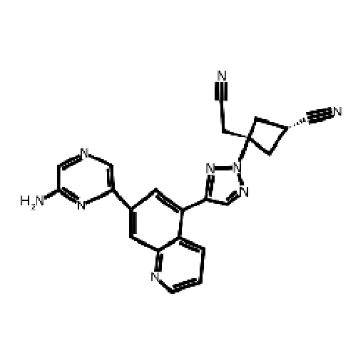 N#CC[C@]1(n2ncc(-c3cc(-c4cncc(N)n4)cc4ncccc34)n2)C[C@@H](C#N)C1